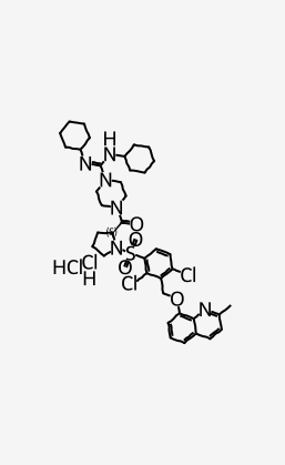 Cc1ccc2cccc(OCc3c(Cl)ccc(S(=O)(=O)N4CCC[C@H]4C(=O)N4CCN(C(=NC5CCCCC5)NC5CCCCC5)CC4)c3Cl)c2n1.Cl.Cl